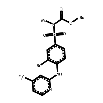 CC(C)N(C(=O)OC(C)(C)C)S(=O)(=O)c1ccc(Nc2cc(C(F)(F)F)ccn2)c(Br)c1